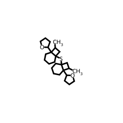 CC1CC2(SC34CCCCC3(C3CCCO3)C(C)C4)CCCCC12C1CCCO1